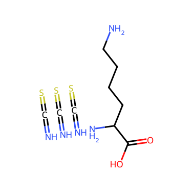 N=C=S.N=C=S.N=C=S.NCCCCC(N)C(=O)O